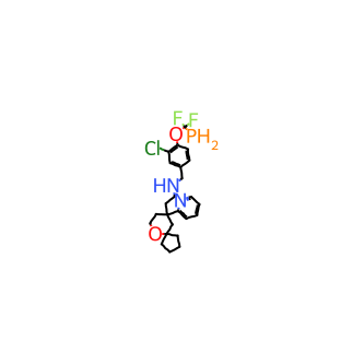 FC(F)(P)Oc1ccc(CNCCC2(c3ccccn3)CCOC3(CCCC3)C2)cc1Cl